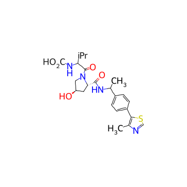 Cc1ncsc1-c1ccc(C(C)NC(=O)[C@@H]2C[C@@H](O)CN2C(=O)C(NC(=O)O)C(C)C)cc1